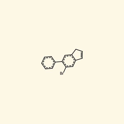 Brc1cc2c(cc1-c1ccccc1)CC=C2